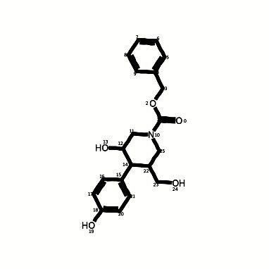 O=C(OCc1ccccc1)N1CC(O)C(c2ccc(O)cc2)C(CO)C1